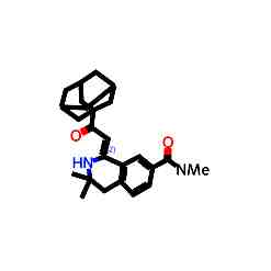 CNC(=O)c1ccc2c(c1)/C(=C/C(=O)C13CC4CC(CC(C4)C1)C3)NC(C)(C)C2